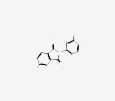 O=C1c2ccc(F)cc2C(=O)N1c1cccc(Cl)c1